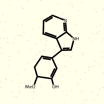 COC1CC=C(c2c[nH]c3ncccc23)C=C1O